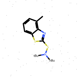 CCCCN(Sc1nc2c(C)cccc2s1)C(C)(C)C